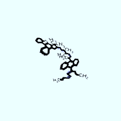 C=CC/C=C\C=C(/CC=C)c1c2ccccc2c(C(=C)/C=C\C(=C)/C(C)=C/C=C2\Cc3c(c4sc5ccccc5c4c4ccccc34)C2(C)C)c2ccccc12